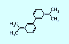 CC(C)=C1C=C(C2=CC(=C(C)C)CC=C2)C=CC1